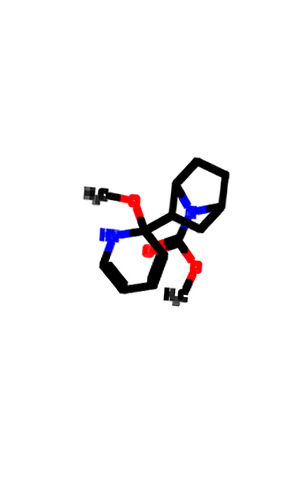 COC(=O)N1C2CCC1C(C1(OC)C=CC=CN1)C2